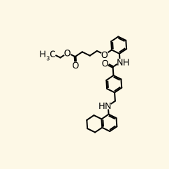 CCOC(=O)CCCOc1ccccc1NC(=O)c1ccc(CNc2cccc3c2CCCC3)cc1